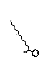 [O]CCCCNCCCCCC(O)c1ccccc1